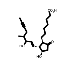 CC#CCC(C)C(O)/C=C/[C@H]1[C@H](O)CC(=O)[C@@H]1CCCCCCC(=O)O